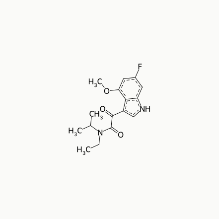 CCN(C(=O)C(=O)c1c[nH]c2cc(F)cc(OC)c12)C(C)C